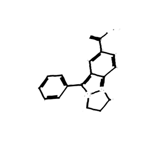 CC(C)COC(=O)c1ccc2c(c1)c(-c1ccccc1)n1[n+]2CCC1.[Cl-]